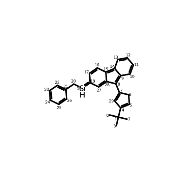 CC(C)(C)C1=CCC(C2=c3ccccc3=c3ccc(=[SiH]Cc4ccccc4)[c]c32)=C1